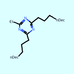 C[CH]c1nc(CCCCCCCCCCCCC)nc(CCCCCCCCCCCCC)n1